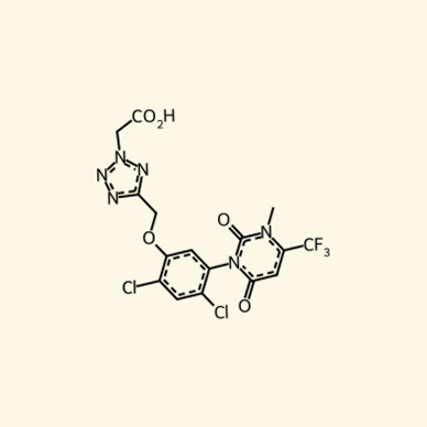 Cn1c(C(F)(F)F)cc(=O)n(-c2cc(OCc3nnn(CC(=O)O)n3)c(Cl)cc2Cl)c1=O